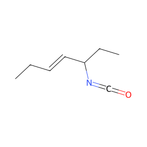 CCC=CC(CC)N=C=O